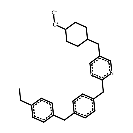 [CH2-][CH+]C1CCC(Cc2cnc(Cc3ccc(Cc4ccc(CC)cc4)cc3)nc2)CC1